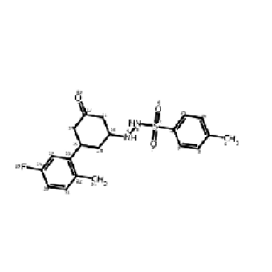 Cc1ccc(S(=O)(=O)NNC2CC(=O)CC(c3cc(F)ccc3C)C2)cc1